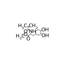 C=C(C)C(=O)NC(CC1CCC(O)C(O)C1)C(=O)OC